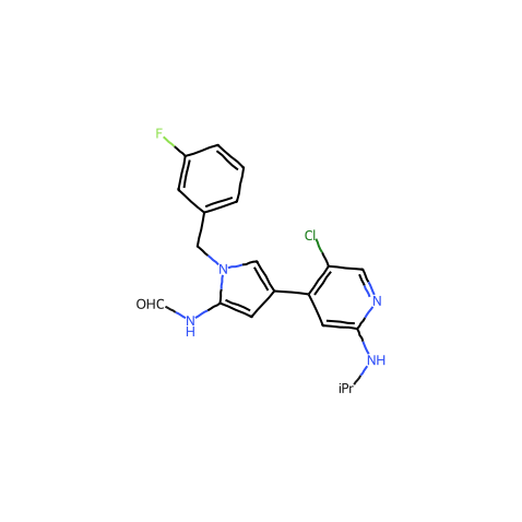 CC(C)Nc1cc(-c2cc(NC=O)n(Cc3cccc(F)c3)c2)c(Cl)cn1